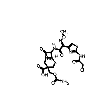 CON=C(C(=O)NC1C(=O)N2CC(COC(N)=O)(C(=O)O)CS[C@H]12)c1csc(NC(=O)CCl)n1